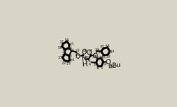 CCCCOc1ccc(C[C@H](NC(=O)OCC2c3ccccc3-c3ccccc32)C(=O)OCc2ccccc2)cc1